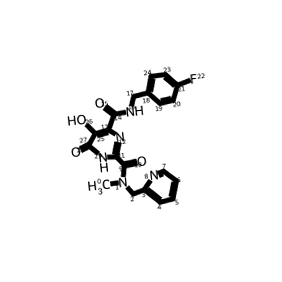 CN(Cc1ccccn1)C(=O)c1nc(C(=O)NCc2ccc(F)cc2)c(O)c(=O)[nH]1